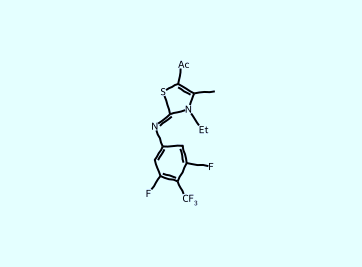 CCn1c(C)c(C(C)=O)sc1=Nc1cc(F)c(C(F)(F)F)c(F)c1